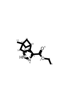 CCOC(=O)c1n[nH]c2c1C1CC(C)(C2)C1